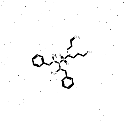 C=CCC[C@H](CCCO)S(=O)(=O)N(B(C)Cc1ccccc1)B(C)Cc1ccccc1